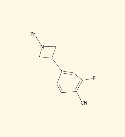 CC(C)N1CC(c2ccc(C#N)c(F)c2)C1